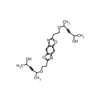 CC(O)C#CC(C)OCCc1nc2cc3oc(CCOC(C)C#CC(C)O)nc3cc2o1